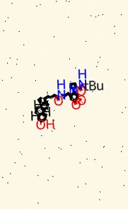 C[C@H](CCC(=O)NCCC1=CC(=O)C(=O)C=C1N1CCC[C@H]1C(=O)NC(C)(C)C)[C@H]1CC[C@H]2[C@@H]3CC[C@@H]4C[C@H](O)CC[C@]4(C)[C@H]3CC[C@]12C